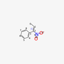 C/C=C(\c1ccccc1)[N+](=O)[O-]